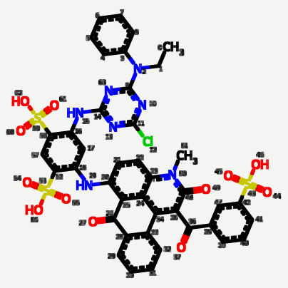 CCN(c1ccccc1)c1nc(Cl)nc(Nc2cc(Nc3ccc4c5c3C(=O)c3ccccc3-c5c(C(=O)c3cccc(S(=O)(=O)O)c3)c(=O)n4C)c(S(=O)(=O)O)cc2S(=O)(=O)O)n1